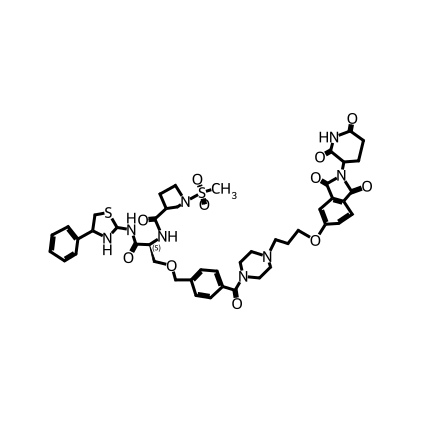 CS(=O)(=O)N1CCC(C(=O)N[C@@H](COCc2ccc(C(=O)N3CCN(CCCOc4ccc5c(c4)C(=O)N(C4CCC(=O)NC4=O)C5=O)CC3)cc2)C(=O)NC2NC(c3ccccc3)CS2)C1